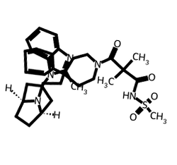 Cc1nc2ccccc2n1C1C[C@H]2CC[C@@H](C1)N2CCC1(c2ccccc2)CCN(C(=O)C(C)(C)C(=O)NS(C)(=O)=O)CC1